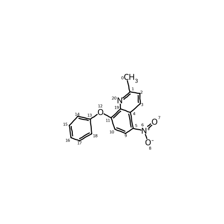 Cc1ccc2c([N+](=O)[O-])ccc(Oc3ccccc3)c2n1